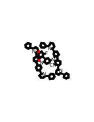 N#Cc1cc(-n2c3cc(-c4cccc(-c5ccccc5)n4)ccc3c3ccc(-c4cccc(-c5ccccc5)n4)cc32)c(-c2c(F)cccc2F)cc1-n1c2cc(-c3cccc(-c4ccccc4)n3)ccc2c2ccc(-c3cccc(-c4ccccc4)n3)cc21